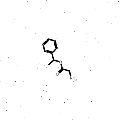 CC(OC(=O)CN)c1ccccc1